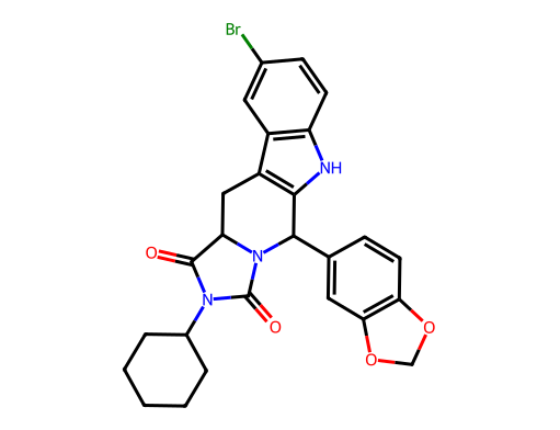 O=C1C2Cc3c([nH]c4ccc(Br)cc34)C(c3ccc4c(c3)OCO4)N2C(=O)N1C1CCCCC1